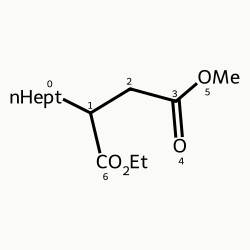 CCCCCCCC(CC(=O)OC)C(=O)OCC